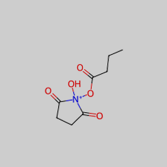 CCCC(=O)O[N+]1(O)C(=O)CCC1=O